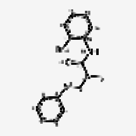 CN(CSc1ccccc1)C(=O)Nc1ccccc1Br